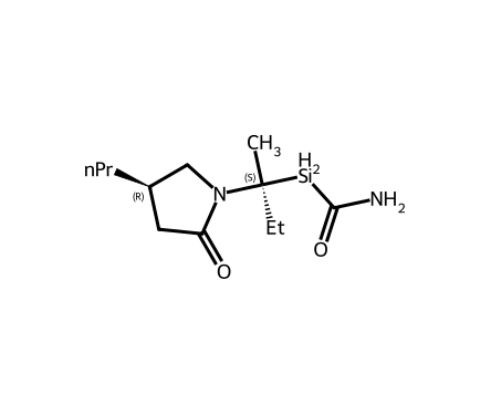 CCC[C@@H]1CC(=O)N([C@](C)(CC)[SiH2]C(N)=O)C1